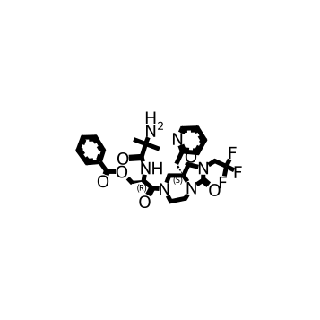 CC(C)(N)C(=O)N[C@H](COC(=O)c1ccccc1)C(=O)N1CCN2C(=O)N(CC(F)(F)F)C(=O)[C@]2(Cc2ccccn2)C1